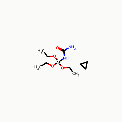 C1CC1.CCO[Si](NC(N)=O)(OCC)OCC